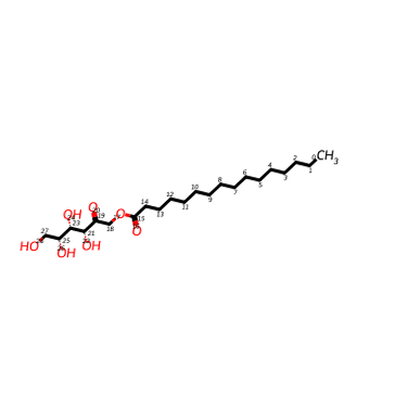 CCCCCCCCCCCCCCCC(=O)OCC(=O)[C@H](O)[C@@H](O)[C@H](O)CO